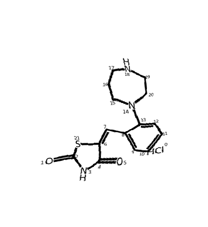 Cl.O=C1NC(=O)C(=Cc2ccccc2N2CCCNCC2)S1